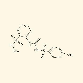 CCCCNS(=O)(=O)c1ccccc1NC(=O)NS(=O)(=O)c1ccc(C)cc1